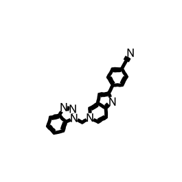 N#Cc1ccc(-c2cc3cn(Cn4nnc5ccccc54)ccc-3n2)cc1